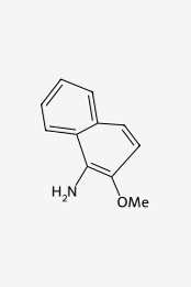 COc1ccc2ccccc2c1N